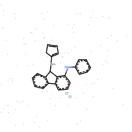 C1=CC[C]([Zr+2][CH]2c3ccccc3-c3cccc(Nc4ccccc4)c32)=C1.[Cl-].[Cl-]